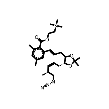 Cc1cc(C)c(C(=O)OCC[Si](C)(C)C)c(/C=C/CC2OC(C)(C)O[C@@H]2C/C=C\[C@H](C)CN=[N+]=[N-])c1